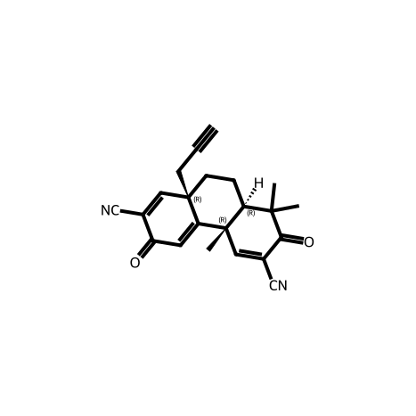 C#CC[C@]12C=C(C#N)C(=O)C=C1[C@@]1(C)C=C(C#N)C(=O)C(C)(C)[C@@H]1CC2